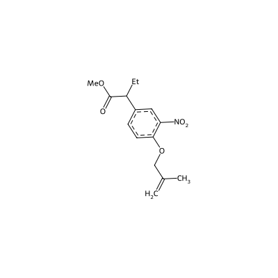 C=C(C)COc1ccc(C(CC)C(=O)OC)cc1[N+](=O)[O-]